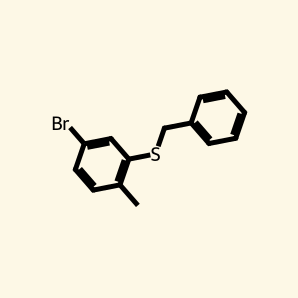 Cc1ccc(Br)cc1SCc1ccccc1